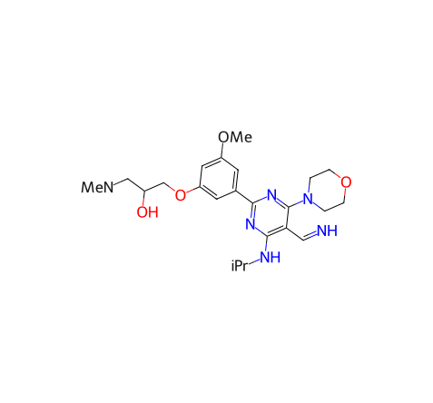 CNCC(O)COc1cc(OC)cc(-c2nc(NC(C)C)c(C=N)c(N3CCOCC3)n2)c1